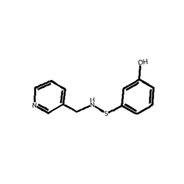 Oc1cccc(SNCc2cccnc2)c1